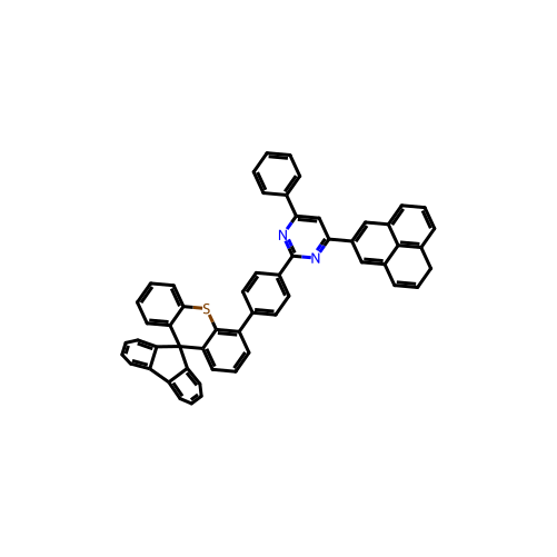 C1=Cc2cc(-c3cc(-c4ccccc4)nc(-c4ccc(-c5cccc6c5Sc5ccccc5C65c6ccccc6-c6ccccc65)cc4)n3)cc3cccc(c23)C1